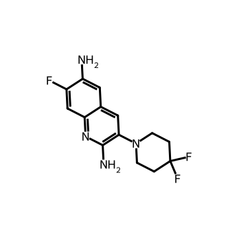 Nc1cc2cc(N3CCC(F)(F)CC3)c(N)nc2cc1F